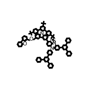 CC(C)(C)c1ccc(-c2cc(C(C)(C)C)cc(-c3ccc(C(C)(C)C)cc3)c2-n2c3ccc(COCc4cccc5c4oc4ccccc45)cc3c3cc(-c4ccc(N(c5ccc(-c6cc(-c7ccccc7)cc(-c7ccccc7)c6)cc5)c5ccc(-c6cc(-c7ccccc7)cc(-c7ccccc7)c6)cc5)c5nsnc45)ccc32)cc1